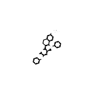 COc1ccc2c(c1)CCc1c-2n(-c2ccccc2)c(=O)c2c(O)c(Sc3ccccc3)c(=O)oc12